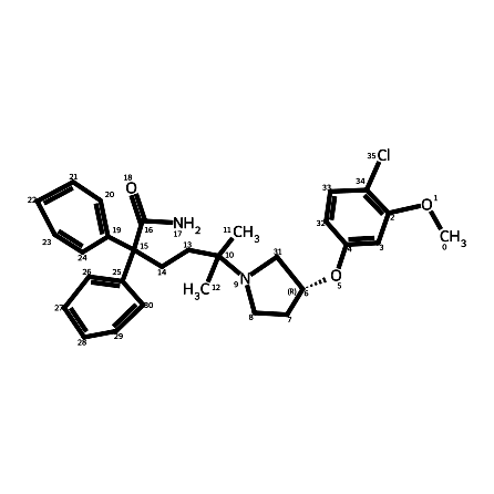 COc1cc(O[C@@H]2CCN(C(C)(C)CCC(C(N)=O)(c3ccccc3)c3ccccc3)C2)ccc1Cl